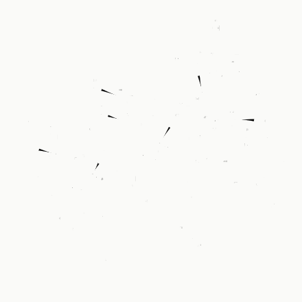 C[C@]12CC[C@@H]3c4ccc(O)cc4CC[C@H]3[C@@H]1CCC2=O.C[C@]12CC[C@@H]3c4ccc(O)cc4CC[C@H]3[C@@H]1CC[C@@H]2O.C[C@]12CC[C@H]3[C@@H](CCC4=CC(=O)CC[C@@]43C)[C@@H]1CC[C@@H]2O